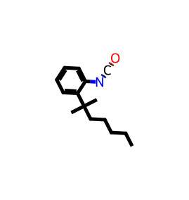 CCCCCC(C)(C)c1ccccc1N=C=O